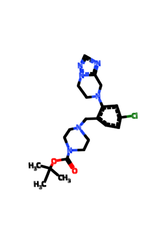 CC(C)(C)OC(=O)N1CCN(Cc2ccc(Cl)cc2N2CCn3ncnc3C2)CC1